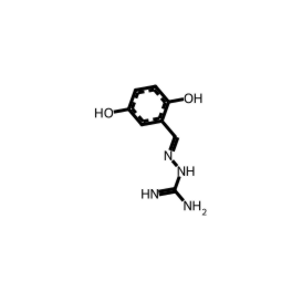 N=C(N)N/N=C/c1cc(O)ccc1O